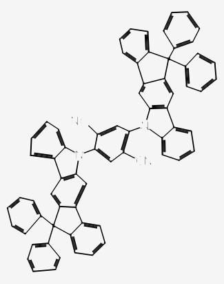 N#Cc1cc(-n2c3ccccc3c3cc4c(cc32)-c2ccccc2C4(c2ccccc2)c2ccccc2)c(C#N)cc1-n1c2ccccc2c2cc3c(cc21)-c1ccccc1C3(c1ccccc1)c1ccccc1